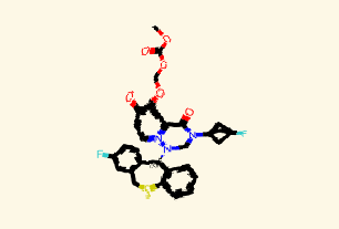 COC(=O)OCOc1c2n(ccc1=O)N([C@H]1c3ccc(F)cc3CSc3ccccc31)CN(C13CC(F)(C1)C3)C2=O